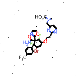 CN(Cc1ccnc(CCOC2=C(F)C(C(N)=O)(c3ncco3)C(F)(c3ccc(C(F)(F)F)cc3)C(Br)=C2)n1)C(=O)O